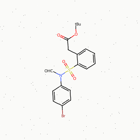 CC(C)(C)OC(=O)Cc1ccccc1S(=O)(=O)N(C=O)c1ccc(Br)cc1